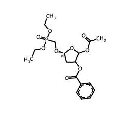 CCOP(=O)(CO[C@@H]1CC(OC(=O)c2ccccc2)C(OC(C)=O)O1)OCC